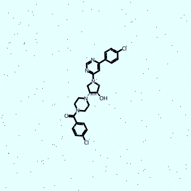 O=C(c1ccc(Cl)cc1)N1CCN([C@@H]2CN(c3cc(-c4ccc(Cl)cc4)ncn3)C[C@H]2O)CC1